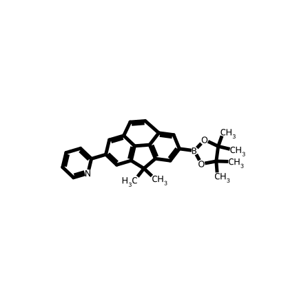 CC1(C)c2cc(B3OC(C)(C)C(C)(C)O3)cc3ccc4cc(-c5ccccn5)cc1c4c23